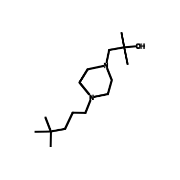 CC(C)(C)CCCN1CCN(CC(C)(C)O)CC1